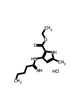 CCCCC(=N)Nc1cc(C)[nH]c1C(=O)OCC.Cl